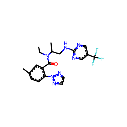 CCN(C(=O)c1cc(C)ccc1-n1nccn1)C(C)CNc1ncc(C(F)(F)F)cn1